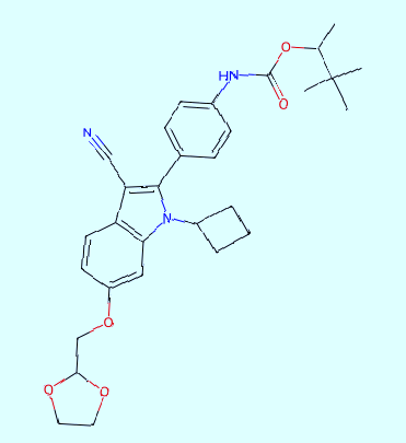 CC(OC(=O)Nc1ccc(-c2c(C#N)c3ccc(OCC4OCCO4)cc3n2C2CCC2)cc1)C(C)(C)C